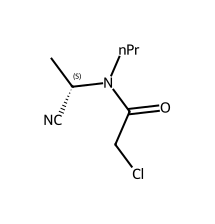 CCCN(C(=O)CCl)[C@@H](C)C#N